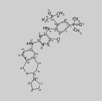 CP(C)(=O)c1ccc(Nc2nc(Nc3ccc4c(c3)CCC(N3CCCC3)CC4)ncc2Cl)c(P(C)(C)=O)c1